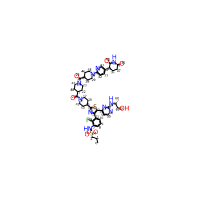 CCCS(=O)(=O)Nc1cccc(-c2nc(C3CCN(C(=O)C4CCN(C(=O)C5CCN(c6ccc([C@@H]7CCC(=O)NC7=O)cn6)CC5)CC4)CC3)sc2-c2ccnc(N[C@H](C)CO)n2)c1F